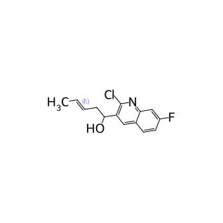 C/C=C/CC(O)c1cc2ccc(F)cc2nc1Cl